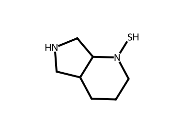 SN1CCCC2CNCC21